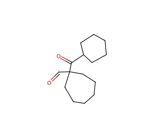 O=[C]C1(C(=O)C2CCCCC2)CCCCCC1